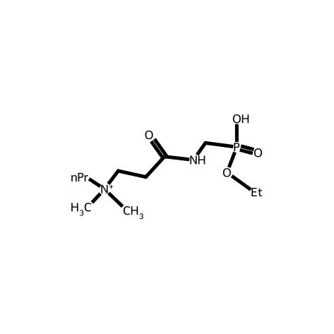 CCC[N+](C)(C)CCC(=O)NCP(=O)(O)OCC